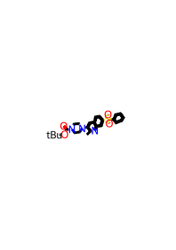 Cc1nc2cc(S(=O)(=O)c3ccccc3)ccc2cc1N1CCN(C(=O)OC(C)(C)C)CC1